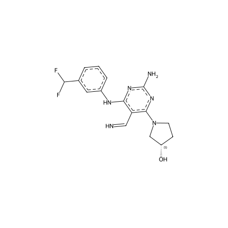 N=Cc1c(Nc2cccc(C(F)F)c2)nc(N)nc1N1CC[C@H](O)C1